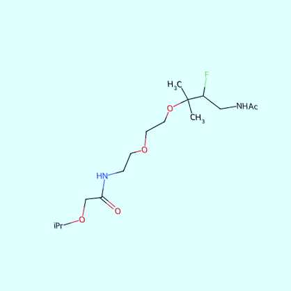 CC(=O)NCC(F)C(C)(C)OCCOCCNC(=O)COC(C)C